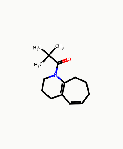 CC(C)(C)C(=O)N1CCCC2=C1CCCC=C2